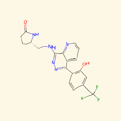 O=C1CC[C@@H](CNc2nnc(-c3ccc(C(F)(F)F)cc3O)c3cccnc23)N1